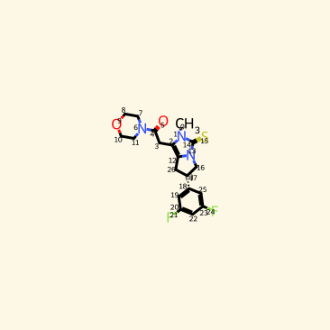 Cn1c(CC(=O)N2CCOCC2)c2n(c1=S)C[C@H](c1cc(F)cc(F)c1)C2